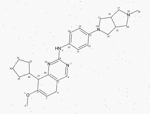 COC1=CCc2cnc(Nc3ccc(N4CC5CN(C)CC5C4)cc3)nc2C1C1CCCC1